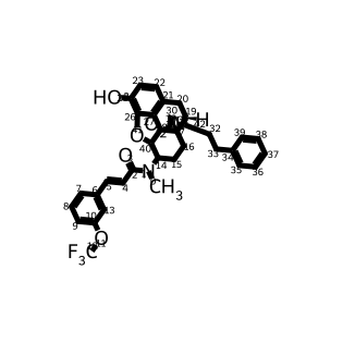 CN(C(=O)/C=C/c1cccc(OC(F)(F)F)c1)C1CC[C@@]2([N+](=O)[O-])[C@H]3Cc4ccc(O)c5c4[C@@]2(CCN3CCc2ccccc2)C1O5